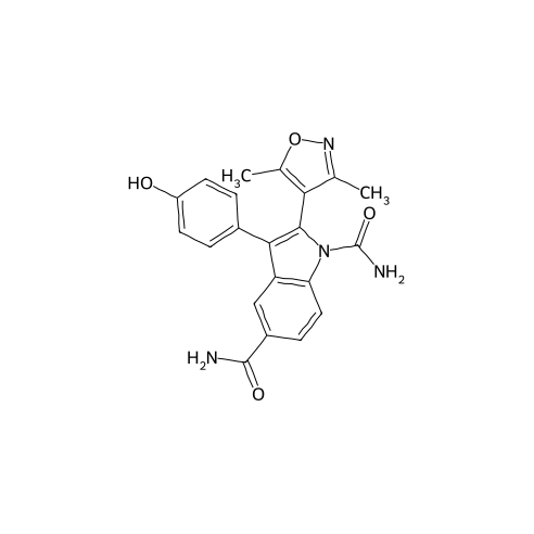 Cc1noc(C)c1-c1c(-c2ccc(O)cc2)c2cc(C(N)=O)ccc2n1C(N)=O